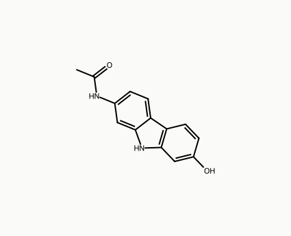 CC(=O)Nc1ccc2c(c1)[nH]c1cc(O)ccc12